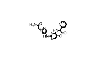 NC(=O)Cn1cc(Nc2ncc(Cl)c(NC(CO)c3ccccn3)n2)cn1